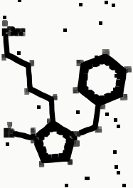 CCCCCCCCCCCCCCc1n(CC)cc[n+]1Cc1ccccc1